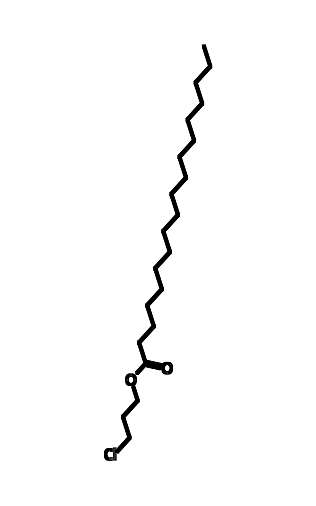 CCCCCCCCCCCCCCCCCC(=O)OCCCCl